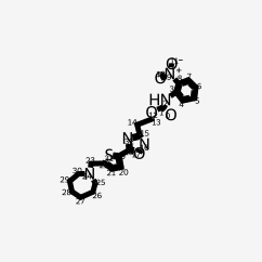 O=C(Nc1ccccc1[N+](=O)[O-])OCCc1noc(-c2ccc(CN3CCCCCC3)s2)n1